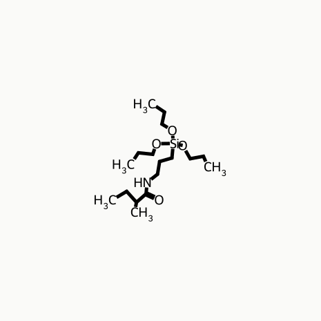 CCCO[Si](CCCNC(=O)C(C)CC)(OCCC)OCCC